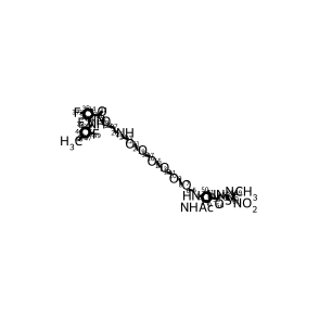 CC(=O)Nc1cc(NCCOCCOCCOCCOCCOCCOCCNCCCONC(=O)c2ccc(F)c(F)c2Nc2ccc(C)cc2F)ccc1C(=O)Nc1nc(C)c([N+](=O)[O-])s1